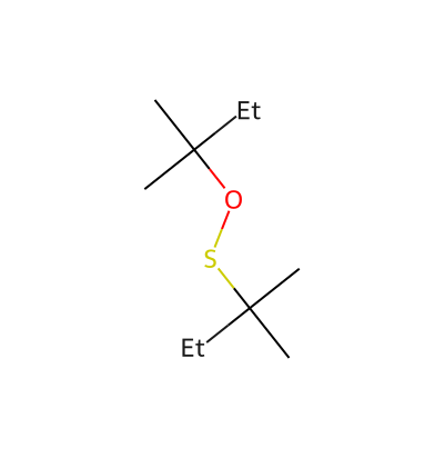 CCC(C)(C)OSC(C)(C)CC